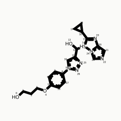 OCCCOc1ccc(-n2cc(C(O)[SH]3C(C4CC4)=Nc4cncn43)nn2)cc1